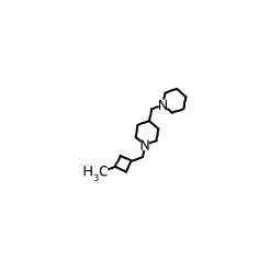 CC1CC(CN2CCC(CN3CCCCC3)CC2)C1